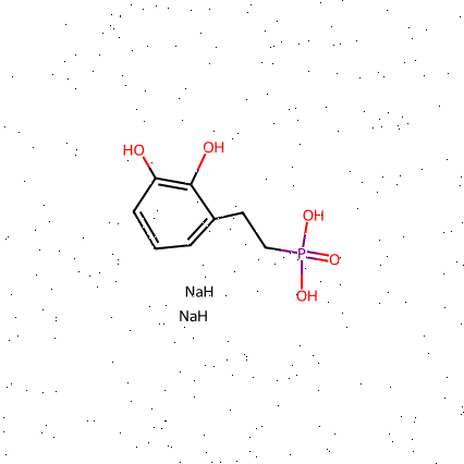 O=P(O)(O)CCc1cccc(O)c1O.[NaH].[NaH]